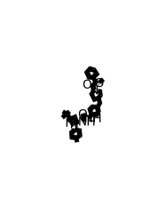 CO[C@H](C(=O)N1CCC(Cc2ccc(NC(=O)Nc3cc(C(C)(C)C)nn3-c3ccc(C)cc3)cc2)CC1)c1ccccc1